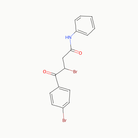 O=C(CC(Br)C(=O)c1ccc(Br)cc1)Nc1ccccc1